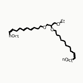 CCCCCCCC/C=C\CCCCCCCCOCC(COCC)OCCCCCCCC/C=C\CCCCCCCC